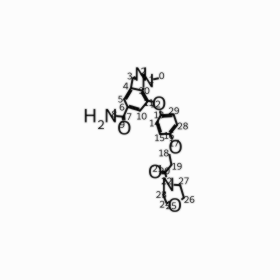 Cn1ncc2cc(C(N)=O)cc(Oc3ccc(OCCC(=O)N4CCOCC4)cc3)c21